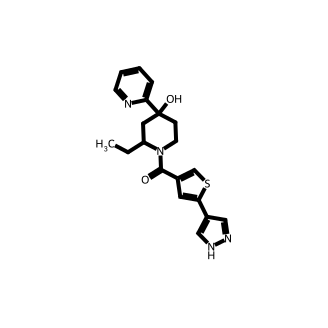 CCC1CC(O)(c2ccccn2)CCN1C(=O)c1csc(-c2cn[nH]c2)c1